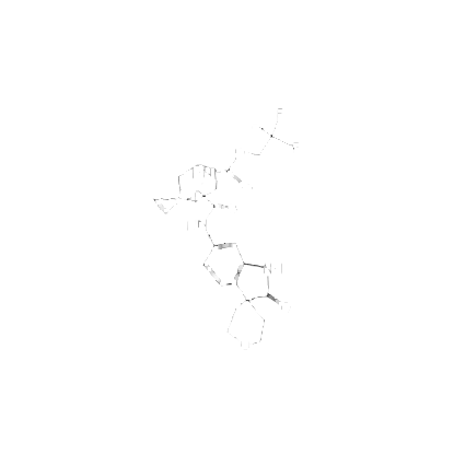 O=C(N[C@H](C(=O)Nc1ccc2c(c1)NC(=O)C21CCOCC1)[SH]12(C=C1)CCCCC2)OCC(F)(F)F